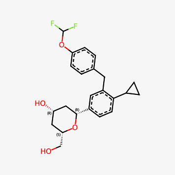 OC[C@@H]1C[C@H](O)C[C@H](c2ccc(C3CC3)c(Cc3ccc(OC(F)F)cc3)c2)O1